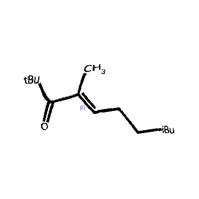 CCC(C)CC/C=C(\C)C(=O)C(C)(C)C